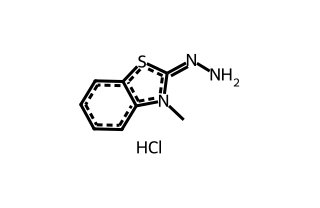 Cl.Cn1c(=NN)sc2ccccc21